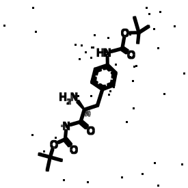 CC(C)(C)OC(=O)[N]C(=O)[C@@H](N)Cc1ccc(NC(=O)OC(C)(C)C)cc1